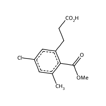 COC(=O)c1c(C)cc(Cl)cc1CCC(=O)O